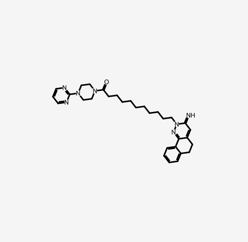 N=c1cc2c(nn1CCCCCCCCCCC(=O)N1CCN(c3ncccn3)CC1)-c1ccccc1CC2